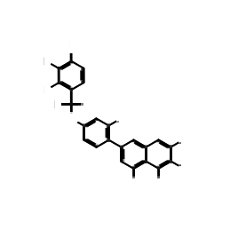 CCCc1ccc(C(F)(F)Oc2ccc(-c3cc(F)c4c(F)c(F)c(F)cc4c3)c(F)c2)c(F)c1F